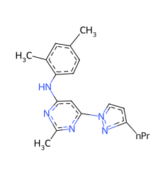 CCCc1ccn(-c2cc(Nc3ccc(C)cc3C)nc(C)n2)n1